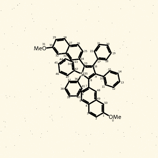 COc1ccc2ccc(C3=C(c4ccccc4)C(c4ccccc4)=C(c4ccc5ccc(OC)cc5c4)[Si]3(c3ccccc3)c3ccccc3)cc2c1